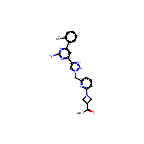 COC(=O)C1CN(c2cccc(Cn3cc(-c4cc(-c5ccccc5C#N)nc(N)n4)nn3)n2)C1